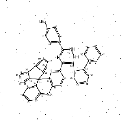 CC(C)(C)c1ccc(C2=NC(c3ccc4c(c3)C3(c5ccccc5S4)c4ccccc4-c4ccccc43)=C(c3ccccc3-c3ccccc3)NN2)cc1